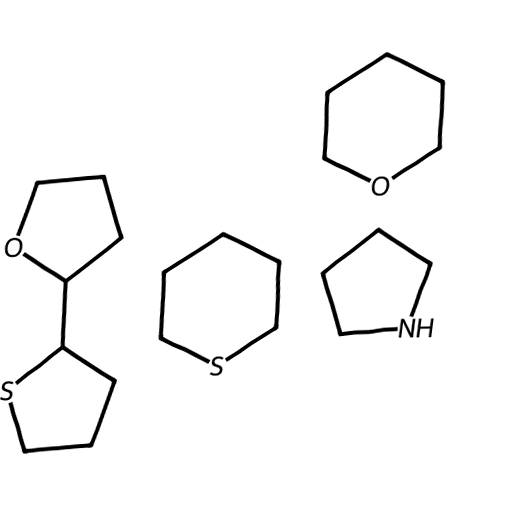 C1CCNC1.C1CCOCC1.C1CCSCC1.C1COC(C2CCCS2)C1